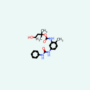 Cc1ccc(NC(=O)Nc2ccccc2)cc1NC(=O)OC(C)(C)CCO